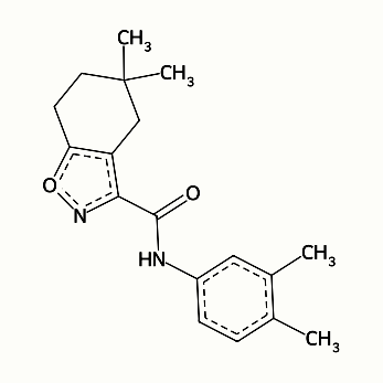 Cc1ccc(NC(=O)c2noc3c2CC(C)(C)CC3)cc1C